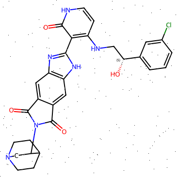 O=C1c2cc3nc(-c4c(NC[C@@H](O)c5cccc(Cl)c5)cc[nH]c4=O)[nH]c3cc2C(=O)N1C1CN2CCC1CC2